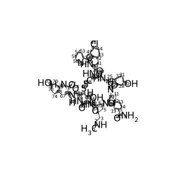 CNCCCC[C@@H]1NC(=O)[C@@H](Cc2ccc(C(N)=O)cc2)NC(=O)[C@H](Cc2ccc(O)cc2)NC(=O)[C@H](NC(=O)[C@H](Cc2ccc(Cl)cc2)NC(=O)c2ccccn2)CSSC2[C@@H](C(=O)N[C@H](Cc3ccc(O)cc3)C(N)=O)NC(=O)[C@@H](NC1=O)[C@@H]2O